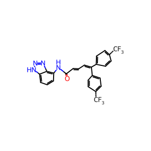 O=C(C=CC=C(c1ccc(C(F)(F)F)cc1)c1ccc(C(F)(F)F)cc1)Nc1cccc2[nH]nnc12